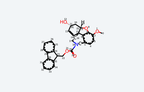 COc1ccc2c3c1O[C@H]1C[C@@H](O)C=C[C@@]31CCN(C(=O)OCC1c3ccccc3-c3ccccc31)C2